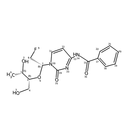 C[C@H](O)[C@@H](CO)O[C@H](CF)n1ccc(NC(=O)c2ccccc2)nc1=O